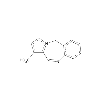 O=C(O)c1ccn2c1C=Nc1ccccc1C2